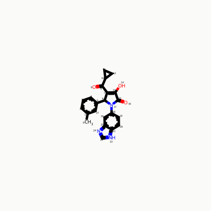 Cc1cccc(C2C(C(=O)C3CC3)=C(O)C(=O)N2c2ccc3[nH]cnc3c2)c1